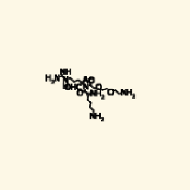 CC(=O)[C@@]([C]=O)(CCCNC(=N)N)N(C(=O)COCCOCCN)C(=O)[C@@H](N)CCCCN